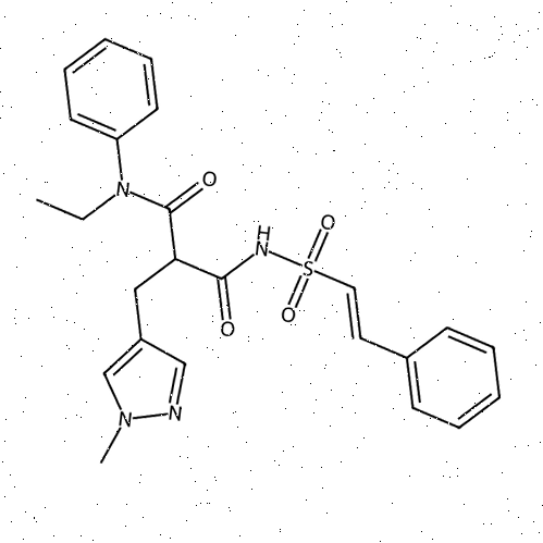 CCN(C(=O)C(Cc1cnn(C)c1)C(=O)NS(=O)(=O)C=Cc1ccccc1)c1ccccc1